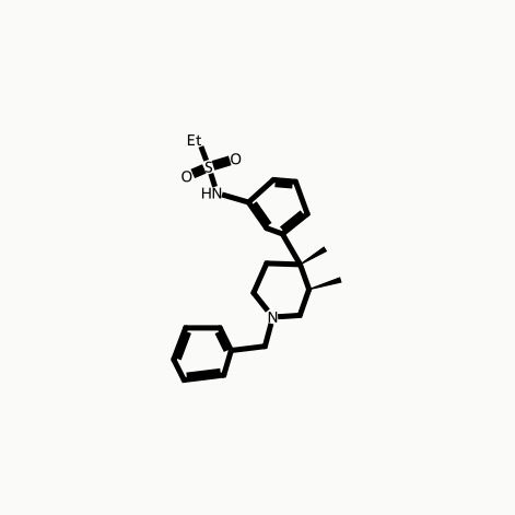 CCS(=O)(=O)Nc1cccc([C@@]2(C)CCN(Cc3ccccc3)C[C@@H]2C)c1